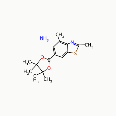 Cc1nc2c(C)cc(B3OC(C)(C)C(C)(C)O3)cc2s1.N